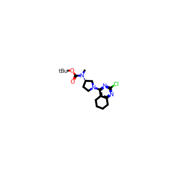 CN(C(=O)OC(C)(C)C)[C@H]1CCN(c2nc(Cl)nc3c2CCCC3)C1